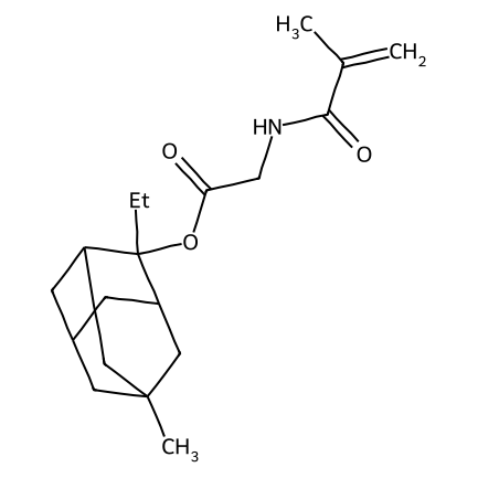 C=C(C)C(=O)NCC(=O)OC1(CC)C2CC3CC1CC(C)(C3)C2